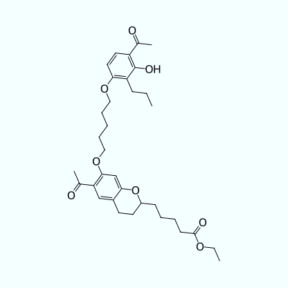 CCCc1c(OCCCCCOc2cc3c(cc2C(C)=O)CCC(CCCCC(=O)OCC)O3)ccc(C(C)=O)c1O